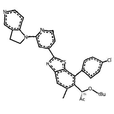 CC(=O)[C@@H](OC(C)(C)C)c1c(C)cc2nc(-c3ccnc(N4CCc5cnccc54)c3)sc2c1-c1ccc(Cl)cc1